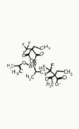 CC(C)[O][Zr+2][O]C(C)C.CCC(C(C)=O)(C(=O)[O-])C(F)(F)F.CCC(C(C)=O)(C(=O)[O-])C(F)(F)F